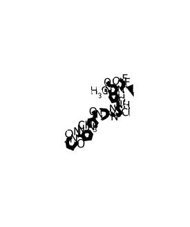 Cn1nc(N2C(=O)CCCC2=O)c2cccc(N3CCC(C(=O)N4CCN(c5ncc(Cl)c(Nc6ccc7c(c6)c6c(c(=O)n7C)OCC(F)(F)[C@H](C7CC7)N6)n5)CC4)CC3)c21